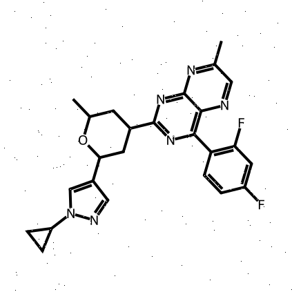 Cc1cnc2c(-c3ccc(F)cc3F)nc(C3CC(C)OC(c4cnn(C5CC5)c4)C3)nc2n1